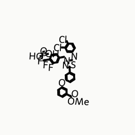 COC(=O)c1cccc(Oc2cccc(-c3nn(Cc4ccc(C(F)(F)P(=O)(O)O)c(F)c4)/c(=N\c4ccc(Cl)c(Cl)c4)s3)c2)c1